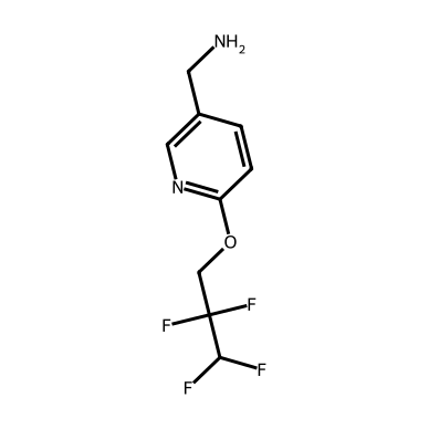 NCc1ccc(OCC(F)(F)C(F)F)nc1